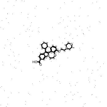 O=C(O)c1ccc2c(C3CCCCC3)c3n(c2c1)CCOc1c(OCCN2CCOCC2)cccc1-3